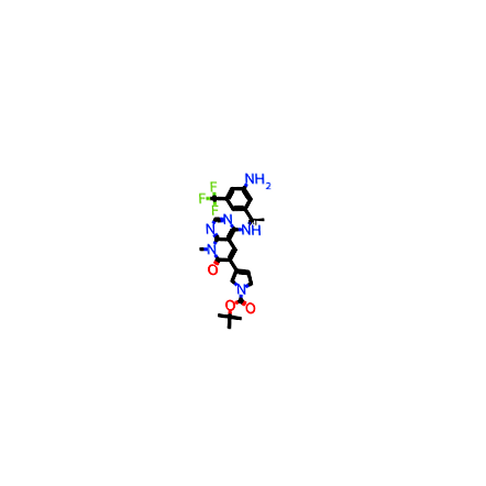 C[C@@H](Nc1ncnc2c1cc(C1=CCN(C(=O)OC(C)(C)C)C1)c(=O)n2C)c1cc(N)cc(C(F)(F)F)c1